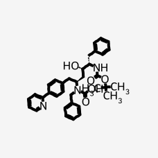 CC(C)(C)OC(=O)N[C@@H](Cc1ccccc1)[C@@H](O)C[C@H](Cc1ccc(-c2ccccn2)cc1)N(Cc1ccccc1)C(=O)O